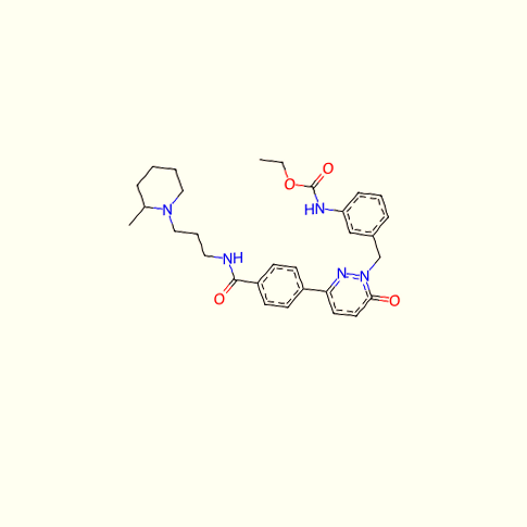 CCOC(=O)Nc1cccc(Cn2nc(-c3ccc(C(=O)NCCCN4CCCCC4C)cc3)ccc2=O)c1